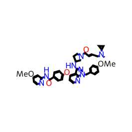 COc1ccc(Cn2nc(NC3CCN(C(=O)/C=C/CN(C)C4CC4)C3)c3c(Oc4ccc(C(=O)Nc5cc(OC)ccn5)cc4)ccnc32)cc1